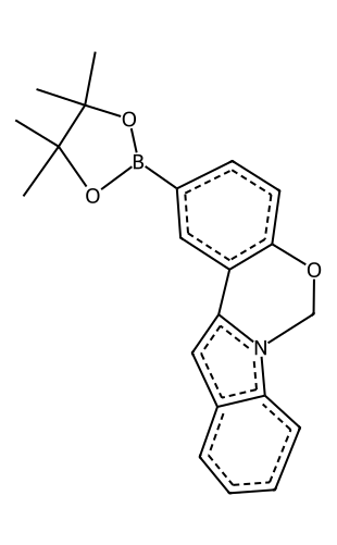 CC1(C)OB(c2ccc3c(c2)-c2cc4ccccc4n2CO3)OC1(C)C